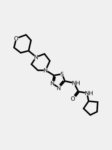 O=C(Nc1nnc(N2CCN(C3CCOCC3)CC2)s1)NC1CCCC1